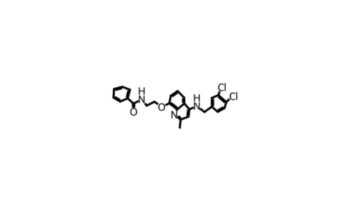 Cc1cc(NCc2ccc(Cl)c(Cl)c2)c2cccc(OCCNC(=O)c3ccccc3)c2n1